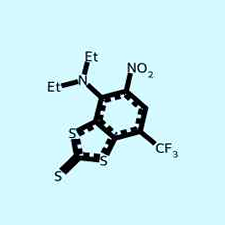 CCN(CC)c1c([N+](=O)[O-])cc(C(F)(F)F)c2sc(=S)sc12